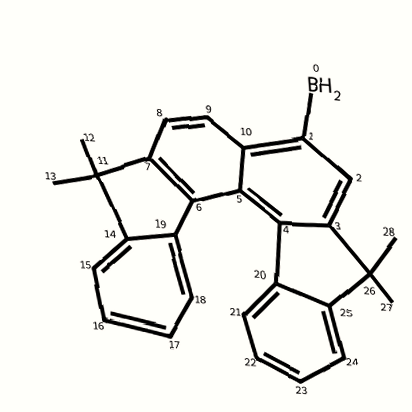 Bc1cc2c(c3c4c(ccc13)C(C)(C)c1ccccc1-4)-c1ccccc1C2(C)C